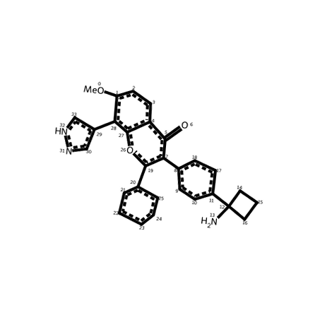 COc1ccc2c(=O)c(-c3ccc(C4(N)CCC4)cc3)c(-c3ccccc3)oc2c1-c1cn[nH]c1